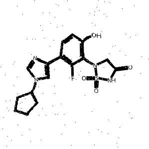 O=C1CN(c2c(O)ccc(-c3cn(C4CCCC4)cn3)c2F)S(=O)(=O)N1